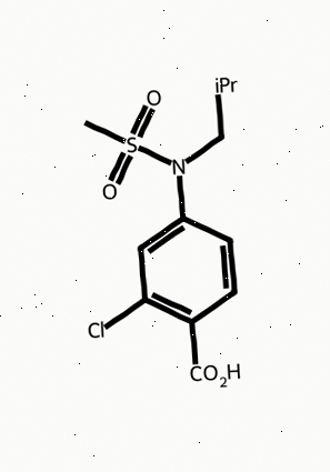 CC(C)CN(c1ccc(C(=O)O)c(Cl)c1)S(C)(=O)=O